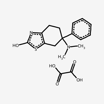 CN(C)C1(c2ccccc2)CCc2nc(O)sc2C1.O=C(O)C(=O)O